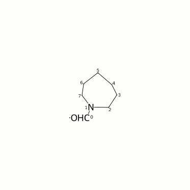 O=[C]N1CCCCCC1